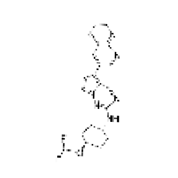 FC(F)O[C@H]1CC[C@H](Nc2ncc3c(-c4cnc5ncccc5c4)ccn3n2)CC1